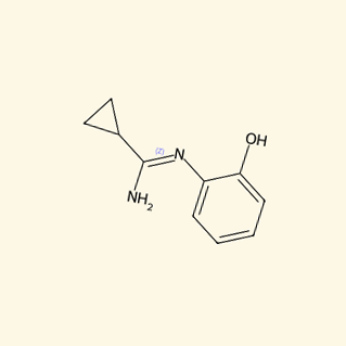 N/C(=N\c1ccccc1O)C1CC1